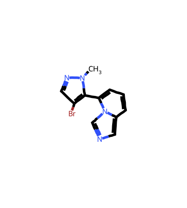 Cn1ncc(Br)c1-c1cccc2cncn12